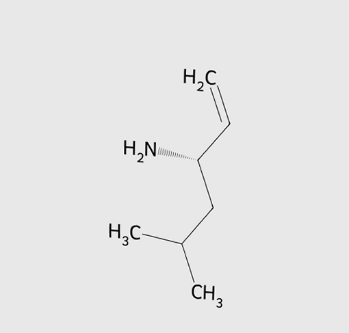 C=C[C@@H](N)CC(C)C